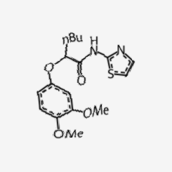 CCCCC(Oc1ccc(OC)c(OC)c1)C(=O)Nc1nccs1